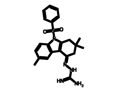 Cc1ccc2c(c1)c1c(n2S(=O)(=O)c2ccccc2)CC(C)(C)CC1=NNC(=N)N